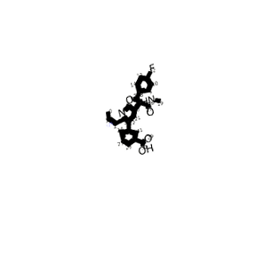 C/C=C\c1nc2oc(-c3ccc(F)cc3)c(C(=O)NC)c2cc1-c1cccc(C(=O)O)c1